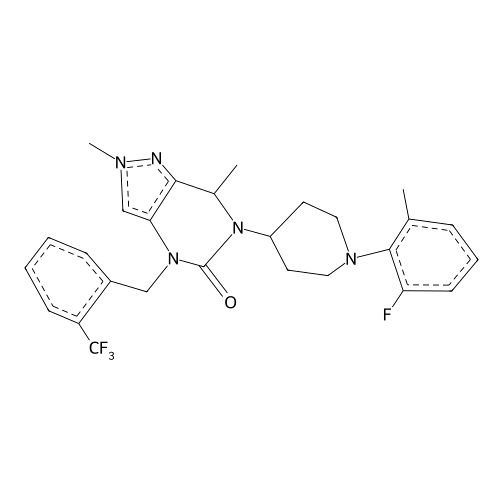 Cc1cccc(F)c1N1CCC(N2C(=O)N(Cc3ccccc3C(F)(F)F)c3cn(C)nc3C2C)CC1